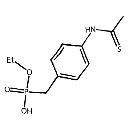 CCOP(=O)(O)Cc1ccc(NC(C)=S)cc1